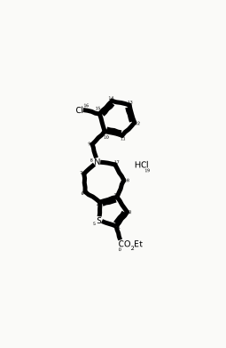 CCOC(=O)c1cc2c(s1)CCN(Cc1ccccc1Cl)CC2.Cl